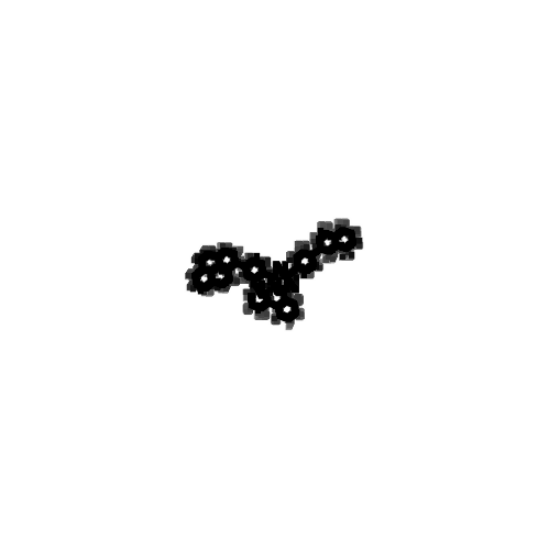 c1cncc(-c2ccccc2-c2nc(-c3ccc(-c4ccc5ccccc5c4)cc3)nc(-c3ccc(-c4ccc5ccc6cccc7ccc4c5c67)cc3)n2)c1